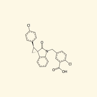 O=C(O)c1cc(CN2C(=O)[C@@]3(C[C@H]3c3ccc(Cl)cc3)c3ccccc32)ccc1Cl